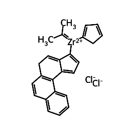 C[C](C)=[Zr+2]([C]1=CC=CC1)[C]1=CC=C2C1=CCc1ccc3ccccc3c12.[Cl-].[Cl-]